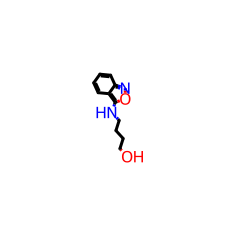 OCCCCNc1onc2ccccc12